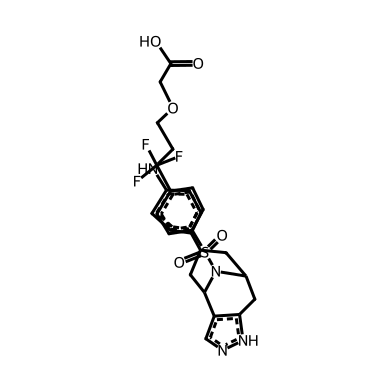 O=C(O)COCCNc1ccc(C2CC3Cc4[nH]ncc4C(C2)N3S(=O)(=O)c2ccc(C(F)(F)F)cc2)cc1